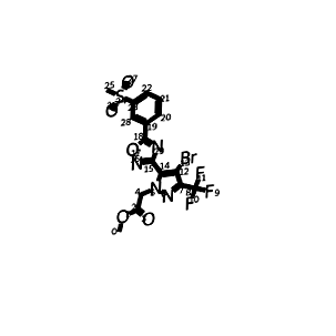 COC(=O)Cn1nc(C(F)(F)F)c(Br)c1-c1noc(-c2cccc(S(C)(=O)=O)c2)n1